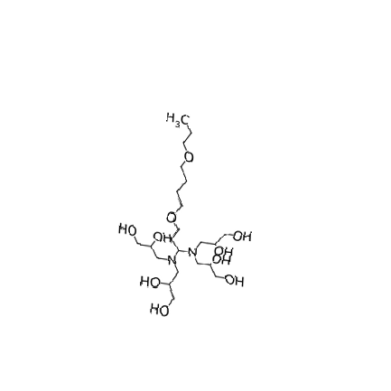 CCCOCCCCOCCC(N(CC(O)CO)CC(O)CO)N(CC(O)CO)CC(O)CO